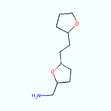 NCC1CCC(CCC2CCCO2)O1